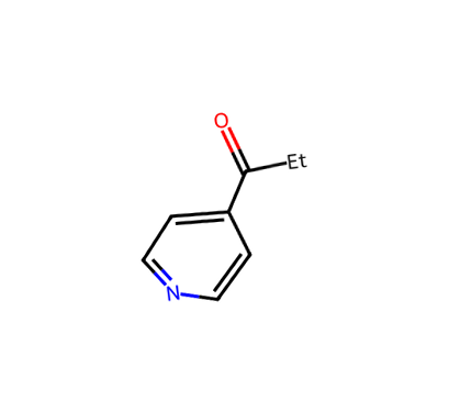 [CH2]CC(=O)c1ccncc1